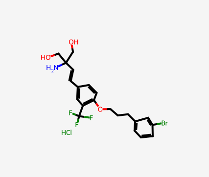 Cl.NC(C=Cc1ccc(OCCCc2cccc(Br)c2)c(C(F)(F)F)c1)(CO)CO